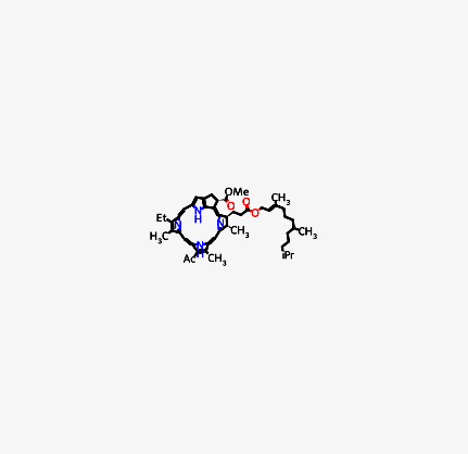 CCC1=C(C)c2cc3[nH]c(cc4nc(c5c6[nH]c(cc1n2)cc6C[C@@H]5C(=O)OC)[C@@H](CCC(=O)OC/C=C(\C)CCCC(C)CCCC(C)C)[C@@H]4C)c(C)c3C(C)=O